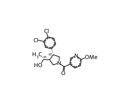 COc1ccc(C(=O)N2CC([C@@H](C)O)[C@H](c3ccc(Cl)c(Cl)c3)C2)cn1